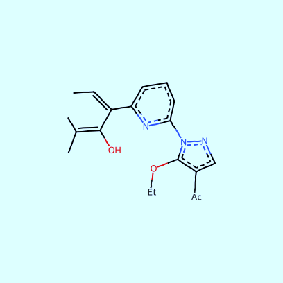 C/C=C(\C(O)=C(C)C)c1cccc(-n2ncc(C(C)=O)c2OCC)n1